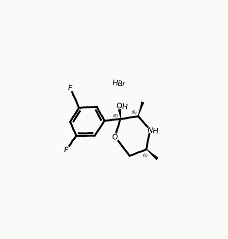 Br.C[C@H]1CO[C@](O)(c2cc(F)cc(F)c2)[C@@H](C)N1